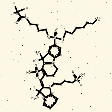 CC1(C)C(/C=C/C=C2\N(CCCCS(=O)(=O)O)c3ccccc3C2(C)C)=[N+](CCCCS(=O)(=O)O)c2ccc(P(=O)(OCCCCCCO)OCCCCNC(=O)C(F)(F)F)cc21